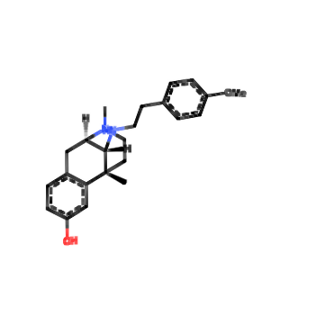 COc1ccc(CCN[C@H]2[C@H]3Cc4ccc(O)cc4[C@@]2(C)CCN3C)cc1